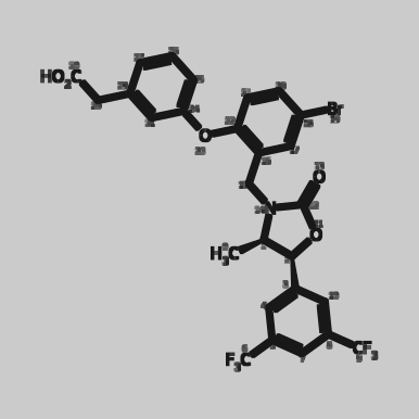 C[C@@H]1[C@H](c2cc(C(F)(F)F)cc(C(F)(F)F)c2)OC(=O)N1Cc1cc(Br)ccc1Oc1cccc(CC(=O)O)c1